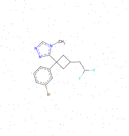 Cn1cnnc1C1(c2cccc(Br)c2)CC(CC(F)F)C1